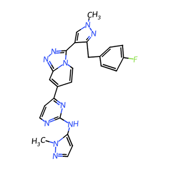 Cn1cc(-c2nnc3cc(-c4ccnc(Nc5ccnn5C)n4)ccn23)c(Cc2ccc(F)cc2)n1